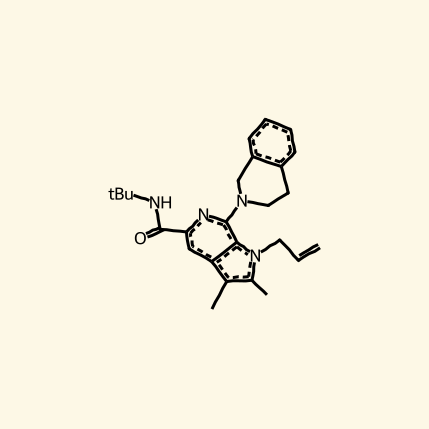 C=CCn1c(C)c(C)c2cc(C(=O)NC(C)(C)C)nc(N3CCc4ccccc4C3)c21